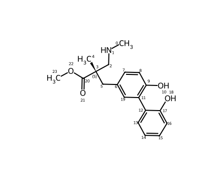 CNC[C@](C)(Cc1ccc(O)c(-c2ccccc2O)c1)C(=O)OC